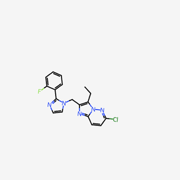 CCc1c(Cn2ccnc2-c2ccccc2F)nc2ccc(Cl)nn12